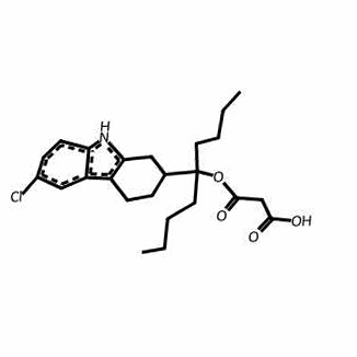 CCCCC(CCCC)(OC(=O)CC(=O)O)C1CCc2c([nH]c3ccc(Cl)cc23)C1